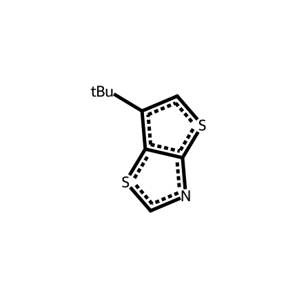 CC(C)(C)c1csc2ncsc12